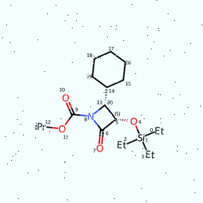 CC[Si](CC)(CC)O[C@@H]1C(=O)N(C(=O)OC(C)C)[C@@H]1C1CCCCC1